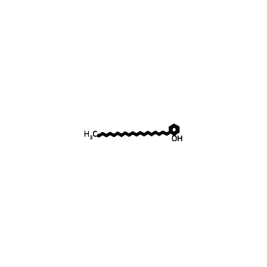 CCCCCCCCCCCCCCCCCCCCc1ccccc1O